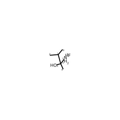 CC(C)C(C)(N)O.F